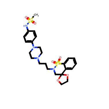 CS(=O)(=O)Nc1ccc(N2CCN(CCCN3CC4(OCCO4)c4ccccc4S3(=O)=O)CC2)cc1